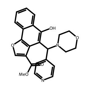 COC(=O)c1coc2c1c(C(c1ccncc1)N1CCOCC1)c(O)c1ccccc12